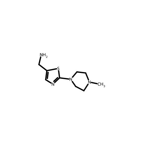 CN1CCN(c2ncc(CN)s2)CC1